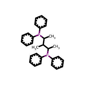 CC(C(C)P(c1ccccc1)c1ccccc1)C(C)P(c1ccccc1)c1ccccc1